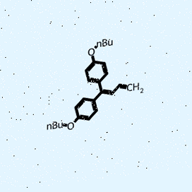 C=CC=C(c1ccc(OCCCC)cc1)c1ccc(OCCCC)cc1